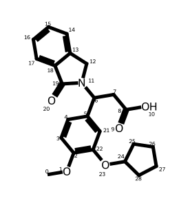 COc1ccc(C(CC(=O)O)N2Cc3ccccc3C2=O)cc1OC1CCCC1